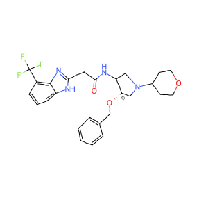 O=C(Cc1nc2c(C(F)(F)F)cccc2[nH]1)NC1CN(C2CCOCC2)C[C@@H]1OCc1ccccc1